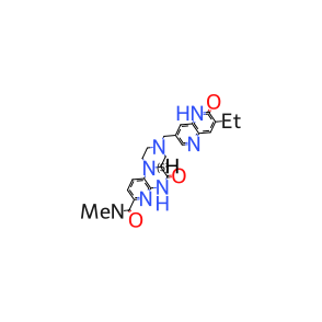 CCc1cc2ncc(CN3CCN4c5ccc(C(=O)NC)nc5NC(=O)[C@@H]4C3)cc2[nH]c1=O